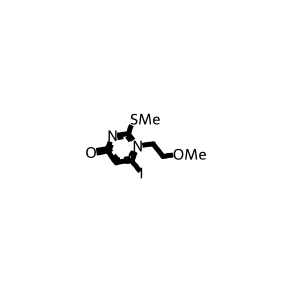 COCCn1c(I)cc(=O)nc1SC